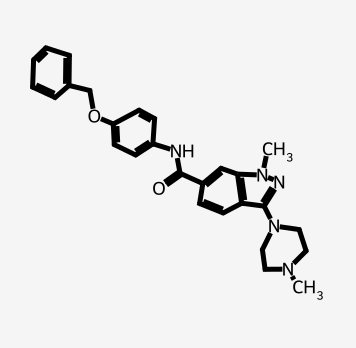 CN1CCN(c2nn(C)c3cc(C(=O)Nc4ccc(OCc5ccccc5)cc4)ccc23)CC1